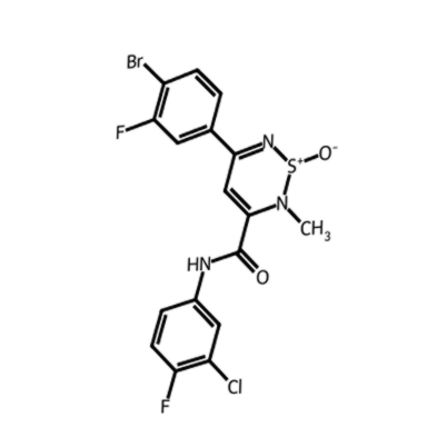 CN1C(C(=O)Nc2ccc(F)c(Cl)c2)=CC(c2ccc(Br)c(F)c2)=N[S+]1[O-]